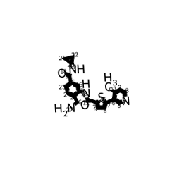 Cc1ccncc1-c1ccc(C(=O)Nc2cc(C(=O)NC3CC3)ccc2CN)s1